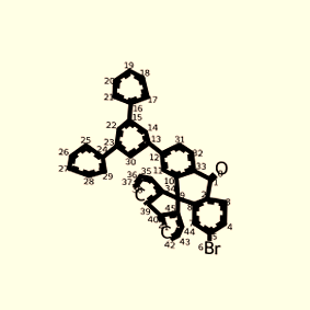 O=C1c2ccc(Br)cc2C2(c3cc(-c4cc(-c5ccccc5)cc(-c5ccccc5)c4)ccc31)c1ccccc1-c1ccccc12